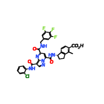 Cc1c(C(=O)O)ccc2c1CC[C@@H]2NC(=O)c1cc(C(=O)NCc2cc(F)c(F)c(F)c2)nc2c(C(=O)Nc3ccccc3Cl)cnn12